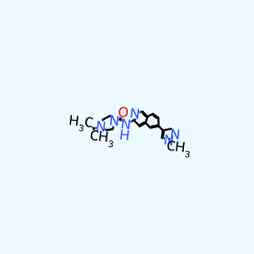 CC(C)N1CCN(C(=O)Nc2cc3cc(-c4cnn(C)c4)ccc3cn2)CC1